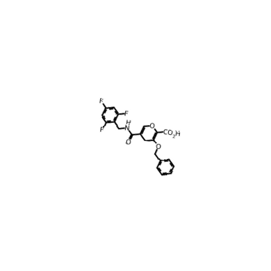 O=C(O)C1=C(OCc2ccccc2)CC(C(=O)NCc2c(F)cc(F)cc2F)=CO1